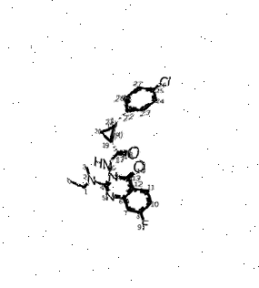 CCN(C)c1nc2cc(F)ccc2c(=O)n1NC(=O)[C@@H]1C[C@@H]1c1ccc(Cl)cc1